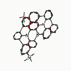 C[Si](C)(C)c1ccc(-c2cccc(-c3ccccc3)c2N2c3ccccc3B3c4ccccc4N(c4c(-c5ccccc5)cccc4-c4ccc([Si](C)(C)C)cc4)c4cccc2c43)cc1